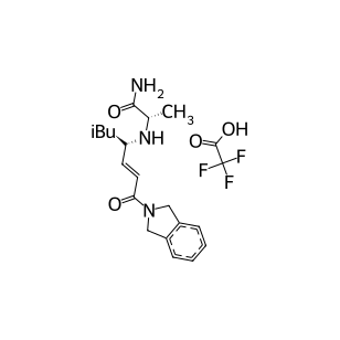 CC[C@H](C)[C@@H](/C=C/C(=O)N1Cc2ccccc2C1)N[C@@H](C)C(N)=O.O=C(O)C(F)(F)F